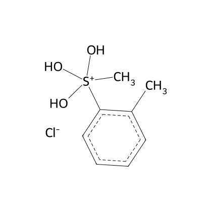 Cc1ccccc1[S+](C)(O)(O)O.[Cl-]